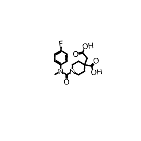 CN(C(=O)N1CCC(CC(=O)O)(C(=O)O)CC1)c1ccc(F)cc1